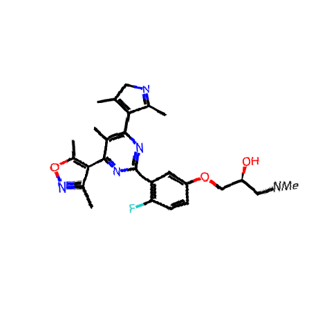 CNC[C@H](O)COc1ccc(F)c(-c2nc(C3=C(C)CN=C3C)c(C)c(-c3c(C)noc3C)n2)c1